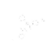 N#Cc1ccc(C(=O)N(CC(=O)Nc2cccc(C(F)(F)F)c2)Cc2ccccc2Cl)cc1